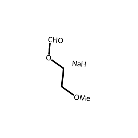 COCCOC=O.[NaH]